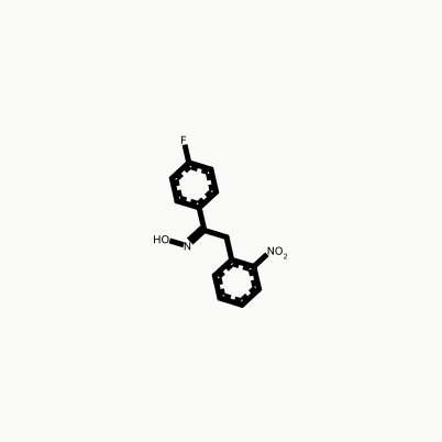 O=[N+]([O-])c1ccccc1CC(=NO)c1ccc(F)cc1